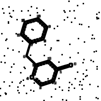 O=c1ccoc(Cc2ccccc2)c1